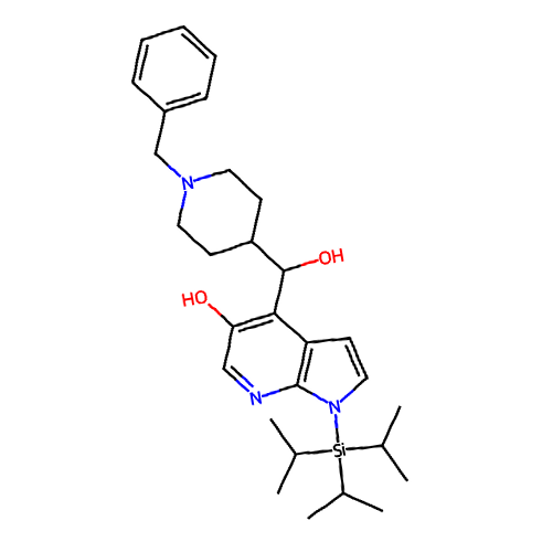 CC(C)[Si](C(C)C)(C(C)C)n1ccc2c(C(O)C3CCN(Cc4ccccc4)CC3)c(O)cnc21